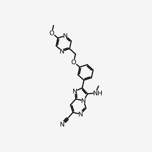 CNc1c(-c2cccc(OCc3cnc(OC)cn3)c2)nc2cc(C#N)ncn12